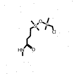 CNC(=O)CCC[Si](C)(C)O[Si](C)(C)CCl